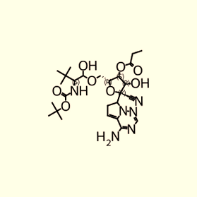 CCC(=O)O[C@H]1[C@@H](O)[C@](C#N)(C2CC=C3C(N)=NC=NN32)O[C@@H]1COC(O)[C@@H](NC(=O)OC(C)(C)C)C(C)(C)C